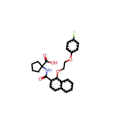 O=C(NC1(C(=O)O)CCCC1)c1ccc2ccccc2c1OCCOc1ccc(F)cc1